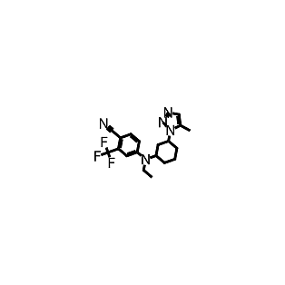 CCN(c1ccc(C#N)c(C(F)(F)F)c1)C1CCCC(n2nncc2C)C1